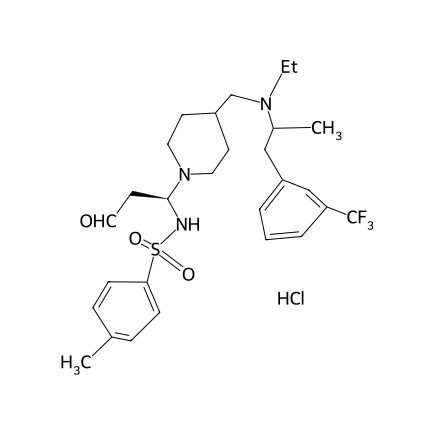 CCN(CC1CCN([C@H](CC=O)NS(=O)(=O)c2ccc(C)cc2)CC1)C(C)Cc1cccc(C(F)(F)F)c1.Cl